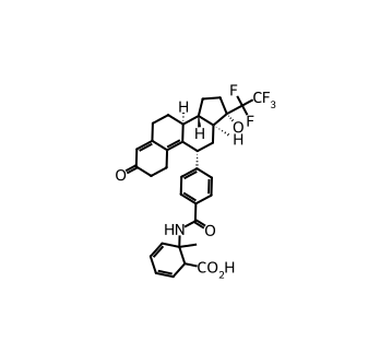 CC1(NC(=O)c2ccc([C@H]3C[C@@]4(C)[C@@H](CC[C@@]4(O)C(F)(F)C(F)(F)F)[C@@H]4CCC5=CC(=O)CCC5=C43)cc2)C=CC=CC1C(=O)O